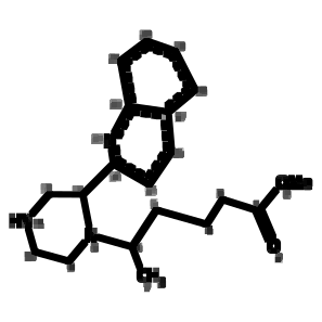 COC(=O)CCCC(C)N1CCNCC1c1ccc2ccccc2n1